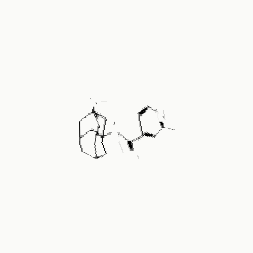 Cc1cc(C(=O)NC23CC4CC(CC(N)(C4)C2)C3)ccn1